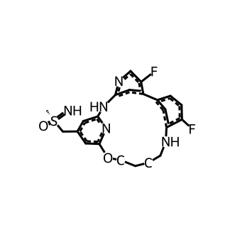 C[S@@](=N)(=O)Cc1cc2nc(c1)OCCCCNc1cc(ccc1F)-c1cc(ncc1F)N2